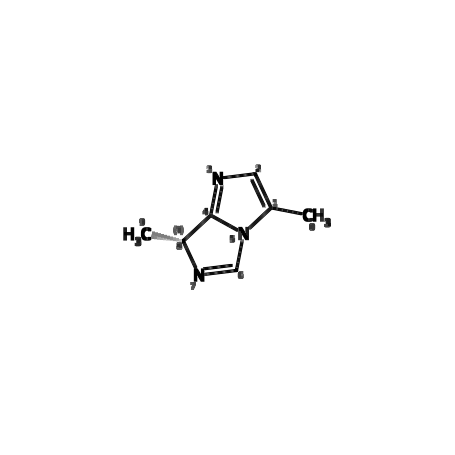 Cc1cnc2n1C=N[C@@H]2C